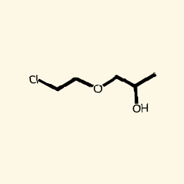 CC(O)COCCCl